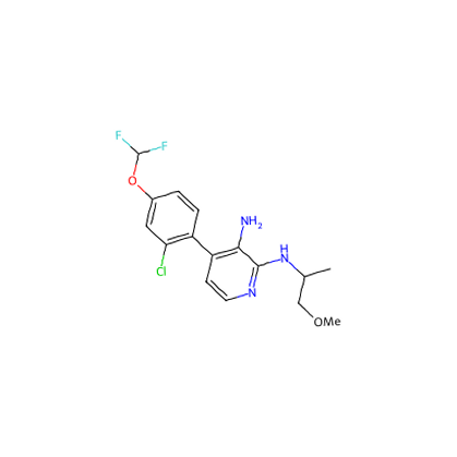 COCC(C)Nc1nccc(-c2ccc(OC(F)F)cc2Cl)c1N